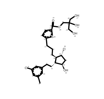 Cc1cc(Cl)cc(CC[C@@H]2[C@@H](CCCc3ccc(C(=O)OCC(O)(CO)CO)s3)[C@H](Cl)C[C@H]2O)c1